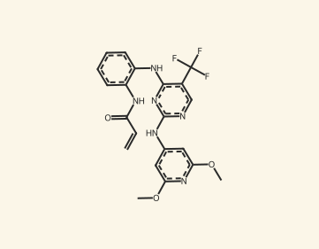 C=CC(=O)Nc1ccccc1Nc1nc(Nc2cc(OC)nc(OC)c2)ncc1C(F)(F)F